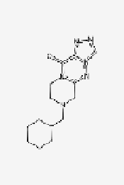 O=c1c2nncn2nc2n1CCN(CC1CCCCC1)C2